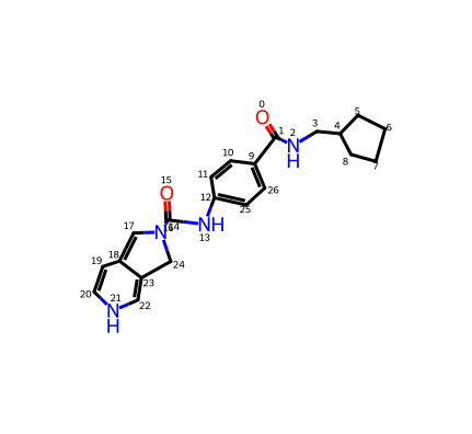 O=C(NCC1CCCC1)c1ccc(NC(=O)N2C=C3C=CNC=C3C2)cc1